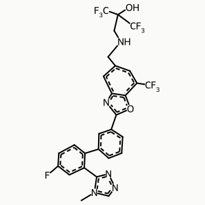 Cn1cnnc1-c1cc(F)ccc1-c1cccc(-c2nc3cc(CNCC(O)(C(F)(F)F)C(F)(F)F)cc(C(F)(F)F)c3o2)c1